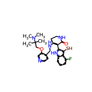 CN(C)C(C)(C)COc1cnccc1CNC1=C(c2[nH]c3cccc(F)c3c2S)C(=O)NCC1